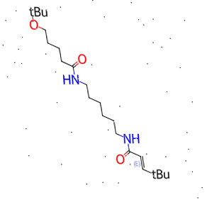 CC(C)(C)/C=C/C(=O)NCCCCCCNC(=O)CCCCOC(C)(C)C